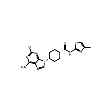 Cc1csc(NC(=O)[C@H]2CC[C@@H](n3cnc4c(N)nc(Cl)nc43)CC2)n1